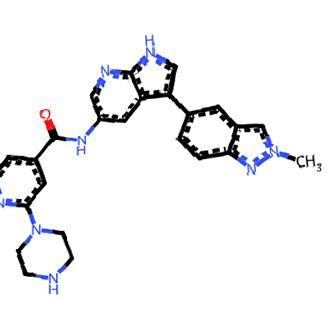 Cn1cc2cc(-c3c[nH]c4ncc(NC(=O)c5ccnc(N6CCNCC6)c5)cc34)ccc2n1